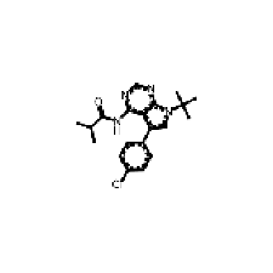 CC(C)C(=O)Nc1ncnc2c1c(-c1ccc(Cl)cc1)cn2C(C)(C)C